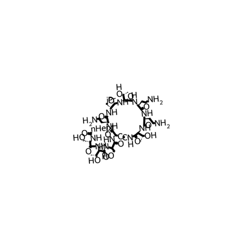 CCCCCCCC(=O)N[C@@H](CO)C(=O)N[C@H](C(=O)NC(CO)C(=O)N[C@H]1CCNC(=O)[C@H]([C@@H](C)O)NC(=O)[C@H](CCN)NC(=O)[C@H](CCN)NC(=O)[C@H]([C@@H](C)O)NC(=O)[C@@H](CC(C)C)NC(=O)[C@H](CCN)NC1=O)[C@@H](C)O